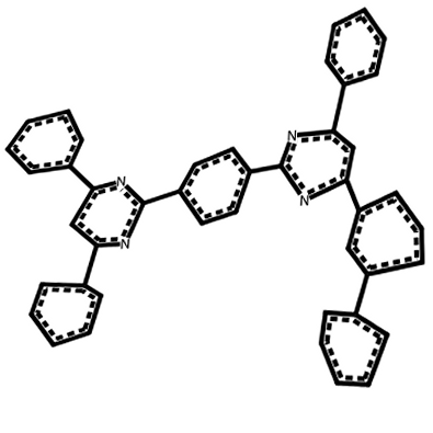 c1ccc(-c2cccc(-c3cc(-c4ccccc4)nc(-c4ccc(-c5nc(-c6ccccc6)cc(-c6ccccc6)n5)cc4)n3)c2)cc1